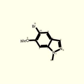 COc1cc2c(cnn2C)cc1Br